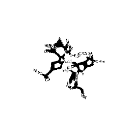 COC(=O)C1Cc2sc3c(c2C1)C(=O)NCc1nnc(C)n1-3.Cc1nnc(CBr)n1C1SC2=C(CC(C)(C(=O)O)C2)C1(C)C(=O)O